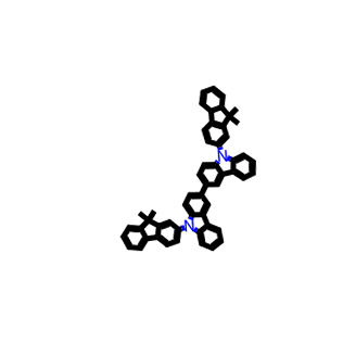 CC1(C)c2ccccc2-c2ccc(-n3c4ccccc4c4cc(-c5ccc6c(c5)c5ccccc5n6-c5ccc6c(c5)C(C)(C)C5C=CC=CC65)ccc43)cc21